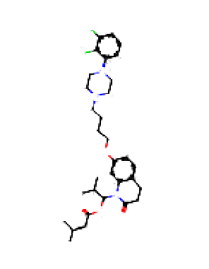 CC(C)CC(=O)OC(C(C)C)N1C(=O)CCc2ccc(OCCCCN3CCN(c4cccc(Cl)c4Cl)CC3)cc21